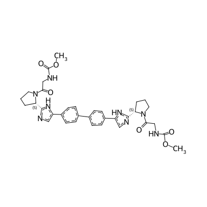 COC(=O)NCC(=O)N1CCC[C@H]1c1ncc(-c2ccc(-c3ccc(-c4cnc([C@@H]5CCCN5C(=O)CNC(=O)OC)[nH]4)cc3)cc2)[nH]1